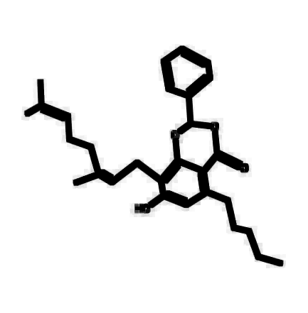 CCCCCc1cc(O)c(CC=C(C)CCC=C(C)C)c2c1C(=O)OC(c1ccccc1)O2